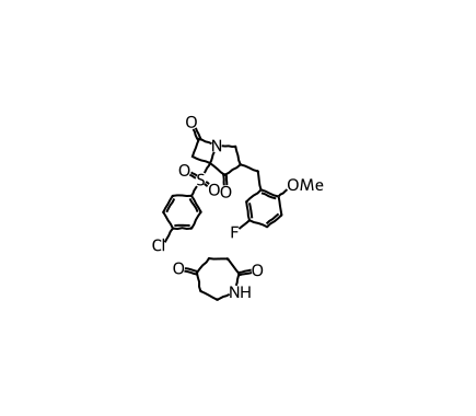 COc1ccc(F)cc1CC1CN2C(=O)CC2(S(=O)(=O)c2ccc(Cl)cc2)C1=O.O=C1CCNC(=O)CC1